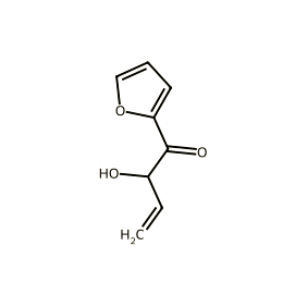 C=CC(O)C(=O)c1ccco1